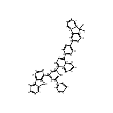 CC1(C)c2ccccc2-c2cc(-c3ccc(-c4ccc(-c5cc(-c6cccc7c6oc6ccccc67)nc(-c6ccccc6)n5)c5ccccc45)cc3)ccc21